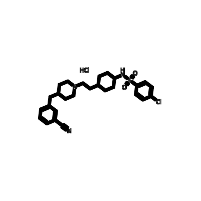 Cl.N#Cc1cccc(CC2CCN(CCC3CCC(NS(=O)(=O)c4ccc(Cl)cc4)CC3)CC2)c1